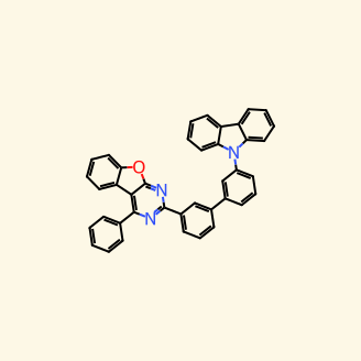 c1ccc(-c2nc(-c3cccc(-c4cccc(-n5c6ccccc6c6ccccc65)c4)c3)nc3oc4ccccc4c23)cc1